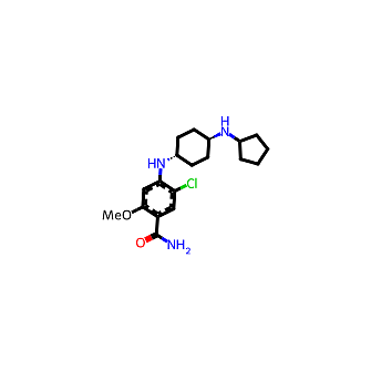 COc1cc(N[C@H]2CC[C@H](NC3CCCC3)CC2)c(Cl)cc1C(N)=O